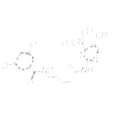 Cc1cnc(NC2CCC(CNC(=O)c3cc(Cl)cc(Cl)c3)CC2)nc1N(C)C